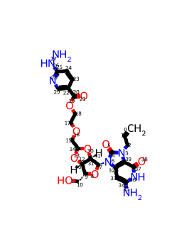 C=CCn1c(=O)n([C@@H]2O[C@H](CO)[C@H]3OC(COCCOC(=O)c4ccc(NN)nc4)O[C@H]32)c2cc(N)[nH]c(=O)c21